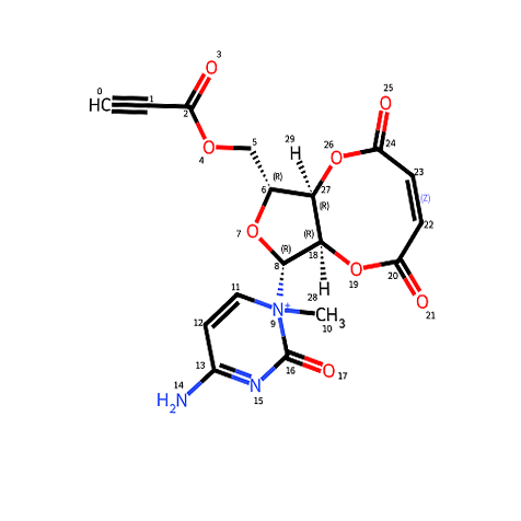 C#CC(=O)OC[C@H]1O[C@@H]([N+]2(C)C=CC(N)=NC2=O)[C@@H]2OC(=O)/C=C\C(=O)O[C@@H]21